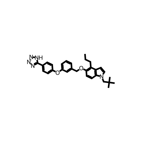 CCCc1c(OCc2cccc(Oc3ccc(-c4nnn[nH]4)cc3)c2)ccc2c1ccn2CC(C)(C)C